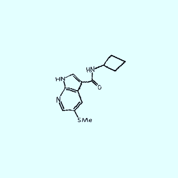 CSc1cnc2[nH]cc(C(=O)NC3CCC3)c2c1